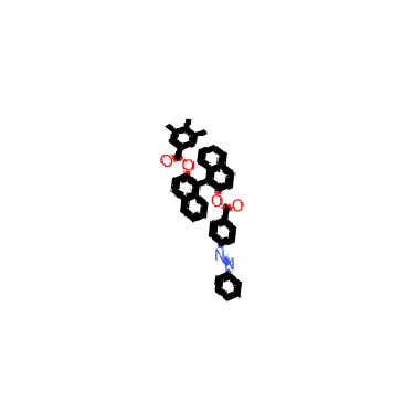 Cc1cc(C(=O)Oc2ccc3ccccc3c2-c2c(OC(=O)c3ccc(/N=N/c4ccccc4)cc3)ccc3ccccc23)cc(C)c1C